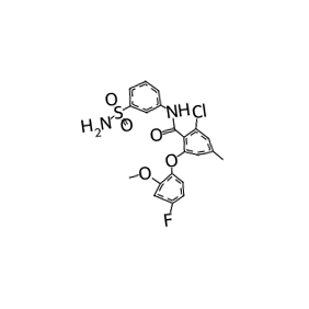 COc1cc(F)ccc1Oc1cc(C)cc(Cl)c1C(=O)Nc1cccc(S(N)(=O)=O)c1